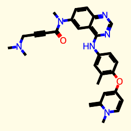 C=C1C=C(Oc2ccc(Nc3ncnc4ccc(N(C)C(=O)C#CCN(C)C)cc34)cc2C)C=CN1C